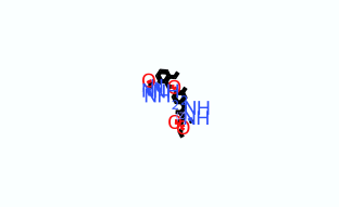 CCOC(=O)/C(NC)=C(\C)C(=N)c1ccc(OCc2c(CC)cccc2N(N)C(=O)N(C)N)c(C)c1